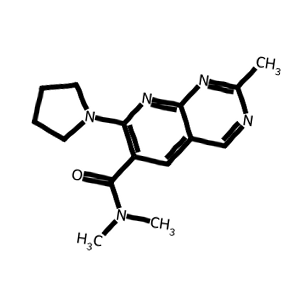 Cc1ncc2cc(C(=O)N(C)C)c(N3CCCC3)nc2n1